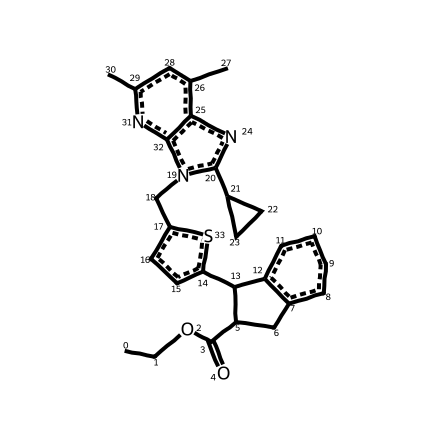 CCOC(=O)C1Cc2ccccc2C1c1ccc(Cn2c(C3CC3)nc3c(C)cc(C)nc32)s1